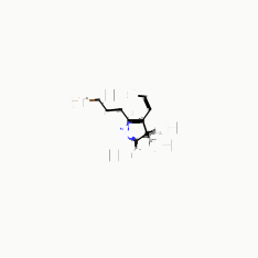 C/C=C\C1=C(CCCBr)N=C(C)C1(C)C